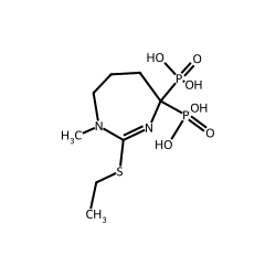 CCSC1=NC(P(=O)(O)O)(P(=O)(O)O)CCCN1C